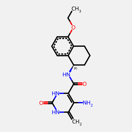 C=C1NC(=O)NC(C(=O)N[C@@H]2CCCc3c(OCC)cccc32)=C1N